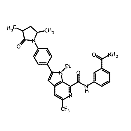 CCn1c(-c2ccc(N3C(=O)C(C)CC3C)cc2)cc2cc(C(F)(F)F)nc(C(=O)Nc3cccc(C(N)=O)c3)c21